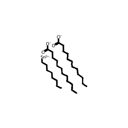 CCCCCCCCCCCC(=O)[O-].CCCCCCCCCCCC(=O)[O-].CCCCCCC[CH2][Sn+2]